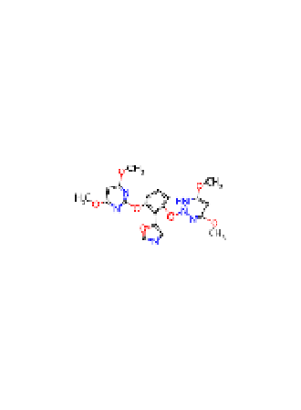 COC1=CC(OC)=NN(Oc2cccc(Oc3nc(OC)cc(OC)n3)c2-c2cnco2)N1